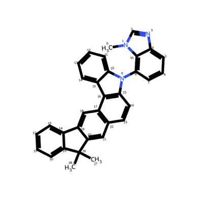 Cn1cnc2cccc(-n3c4ccccc4c4c5cc6c(cc5ccc43)C(C)(C)c3ccccc3-6)c21